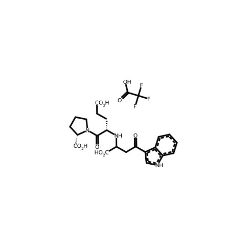 O=C(O)C(F)(F)F.O=C(O)CC[C@H](NC(CC(=O)c1c[nH]c2ccccc12)C(=O)O)C(=O)N1CCC[C@H]1C(=O)O